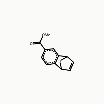 COC(=O)c1ccc2c(c1)C1C=CC2O1